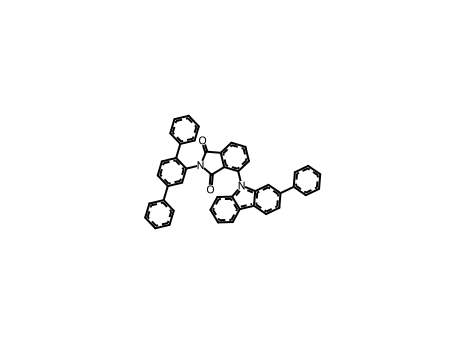 O=C1c2cccc(-n3c4ccccc4c4ccc(-c5ccccc5)cc43)c2C(=O)N1c1cc(-c2ccccc2)ccc1-c1ccccc1